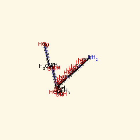 CC(/C=C/CC/C=C/C=C/C=C/C=C/C(=O)O)C(O)C(C)C(O)/C=C/C=C/C=C/C=C/C=C/CC(OC1OC(C)C(O)C(O)C1O)C(C)C(=O)CC(O)CC(O)CC(O)/C=C/CC(O)CC(O)CC(O)CC(O)/C=C/CC(O)CC(O)CCCN